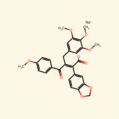 COc1ccc(C(=O)/C(Cc2cc(OC)c(OC)c(OC)c2)=C(/C(=O)[O-])c2ccc3c(c2)OCO3)cc1.[Na+]